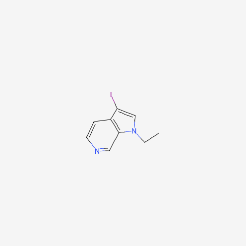 CCn1cc(I)c2ccncc21